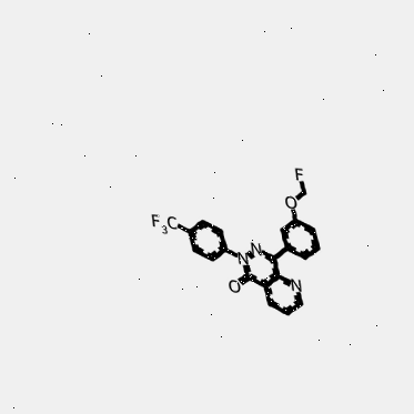 O=c1c2cccnc2c(-c2cccc(OCF)c2)nn1-c1ccc(C(F)(F)F)cc1